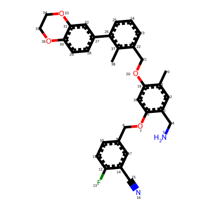 Cc1cc(CN)c(OCc2ccc(F)c(C#N)c2)cc1OCc1cccc(-c2ccc3c(c2)OCCO3)c1C